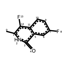 Cc1[nH]c(=O)c2cc(F)ccc2c1F